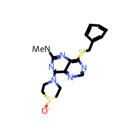 CNc1nc(N2CC[S+]([O-])CC2)c2ncnc(SCc3ccccc3)c2n1